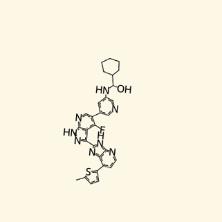 Cc1ccc(-c2ccnc3[nH]c(-c4n[nH]c5ncc(-c6cncc(NC(O)C7CCCCC7)c6)c(F)c45)nc23)s1